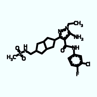 CCn1nc(C2CC3CC(CNS(C)(=O)=O)CC3C2)c(C(=O)Nc2ccc(F)c(Cl)c2)c1N